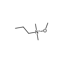 CCC[N+](C)(C)OC